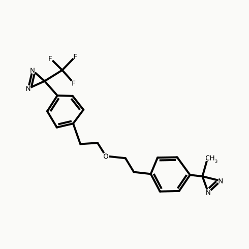 CC1(c2ccc(CCOCCc3ccc(C4(C(F)(F)F)N=N4)cc3)cc2)N=N1